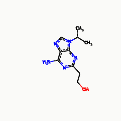 CC(C)n1cnc2c(N)nc(CCO)nc21